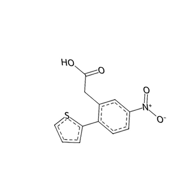 O=C(O)Cc1cc([N+](=O)[O-])ccc1-c1cccs1